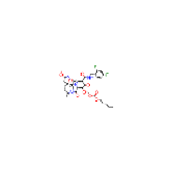 CCCCCOC(=O)OCOc1c2n(cc(C(=O)NCc3ccc(F)cc3F)c1=O)[C@@H]1CN(C2=O)[C@@H](C)CC[C@]12CC(OC)=NO2